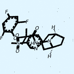 CC(C)(Oc1c(F)cc(F)cc1F)C(=O)N[C@H]1C[C@H]2CC[C@@H](C1)N2c1ccc(S(C)(=O)=O)cn1